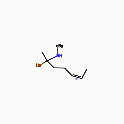 C/C=C\CCC(C)(S)NCCCC